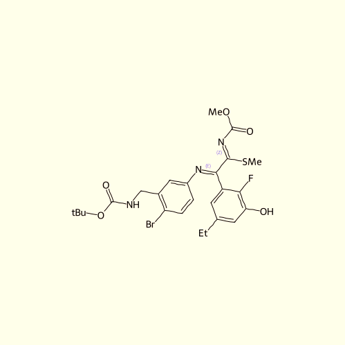 CCc1cc(O)c(F)c(C(=N\c2ccc(Br)c(CNC(=O)OC(C)(C)C)c2)/C(=N/C(=O)OC)SC)c1